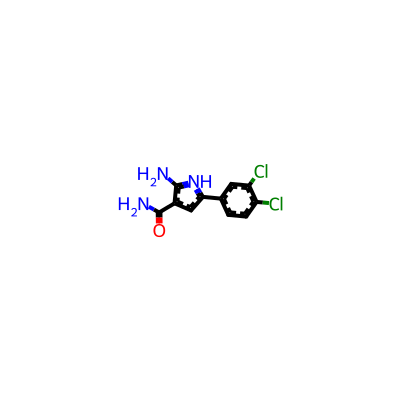 NC(=O)c1cc(-c2ccc(Cl)c(Cl)c2)[nH]c1N